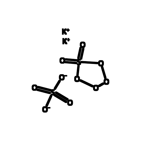 O=S(=O)([O-])[O-].O=S1(=O)OOOO1.[K+].[K+]